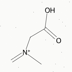 C=[N+](C)CC(=O)O